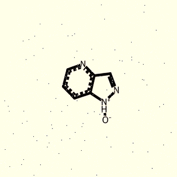 [O-][NH+]1N=Cc2ncccc21